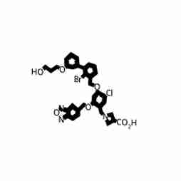 O=C(O)C1CN(Cc2cc(Cl)c(OCc3cccc(-c4cccc(OCCCO)c4)c3Br)cc2OCc2ccc3nonc3c2)C1